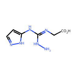 NN/C(=N\CC(=O)O)Nc1ccn[nH]1